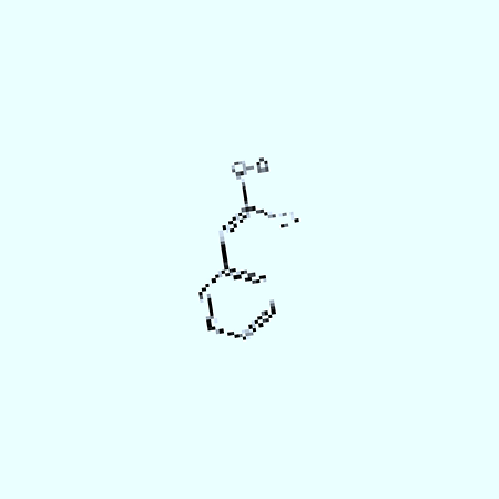 N#C/C(C=O)=C\c1ccccc1